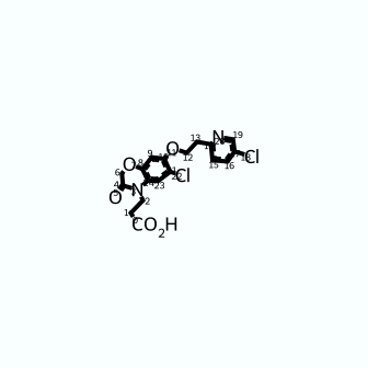 O=C(O)CCN1C(=O)COc2cc(OCCc3ccc(Cl)cn3)c(Cl)cc21